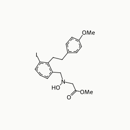 COC(=O)CN(O)Cc1cccc(I)c1CCc1ccc(OC)cc1